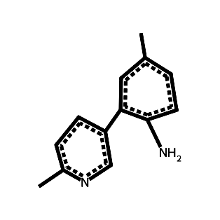 Cc1ccc(N)c(-c2ccc(C)nc2)c1